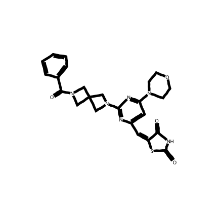 O=C1NC(=O)/C(=C\c2cc(N3CCOCC3)nc(N3CC4(CN(C(=O)c5ccccc5)C4)C3)n2)S1